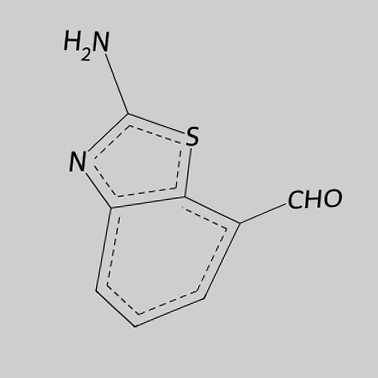 Nc1nc2cccc(C=O)c2s1